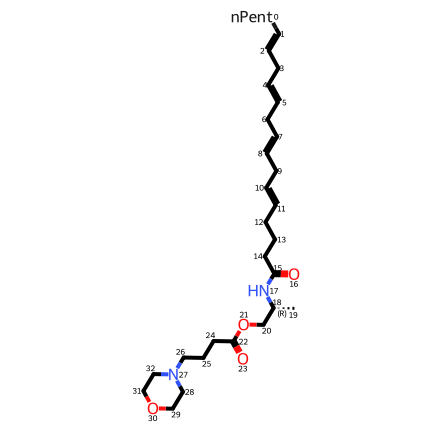 CCCCCC=CCC=CCC=CCC=CCCCC(=O)N[C@H](C)COC(=O)CCCN1CCOCC1